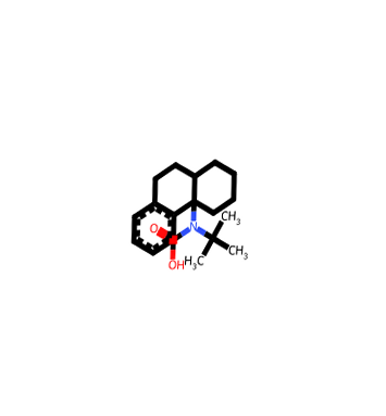 CC(C)(C)N(C(=O)O)C12CCCCC1CCc1ccccc12